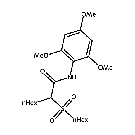 CCCCCCC(C(=O)Nc1c(OC)cc(OC)cc1OC)S(=O)(=O)CCCCCC